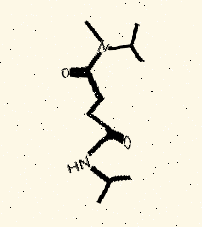 CC(C)NC(=O)[CH]CC(=O)N(C)C(C)C